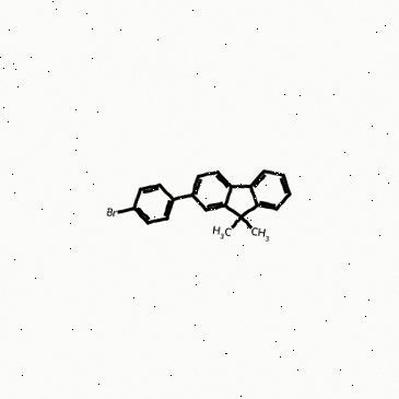 CC1(C)c2ccccc2-c2ccc(-c3ccc(Br)cc3)cc21